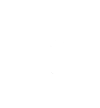 CCC(C#N)C1(O)CCN(C(=O)C(C)(C)C)CC1